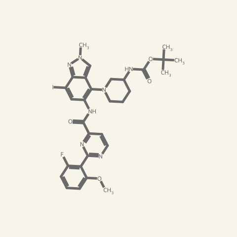 COc1cccc(F)c1-c1nccc(C(=O)Nc2cc(I)c3nn(C)cc3c2N2CCCC(NC(=O)OC(C)(C)C)C2)n1